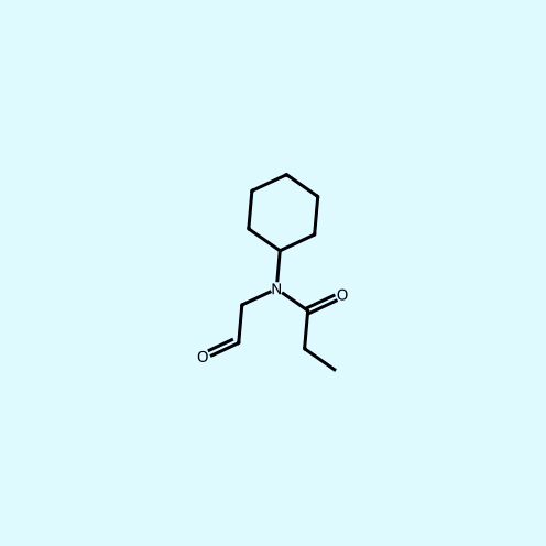 CCC(=O)N(CC=O)C1CCCCC1